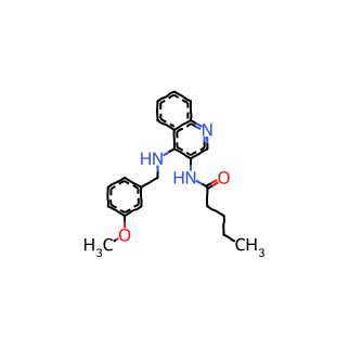 CCCCC(=O)Nc1cnc2ccccc2c1NCc1cccc(OC)c1